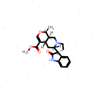 COC(=O)C1=CO[C@@H](C)[C@H]2CN3CC[C@]4(C(=O)Nc5ccccc54)[C@@H]3C[C@H]12